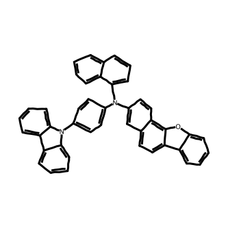 c1ccc2c(N(c3ccc(-n4c5ccccc5c5ccccc54)cc3)c3ccc4c(ccc5c6ccccc6oc45)c3)cccc2c1